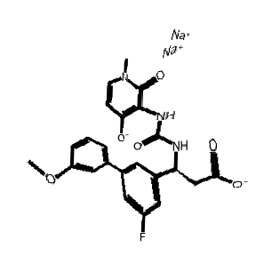 COc1cccc(-c2cc(F)cc([C@H](CC(=O)[O-])NC(=O)Nc3c([O-])ccn(C)c3=O)c2)c1.[Na+].[Na+]